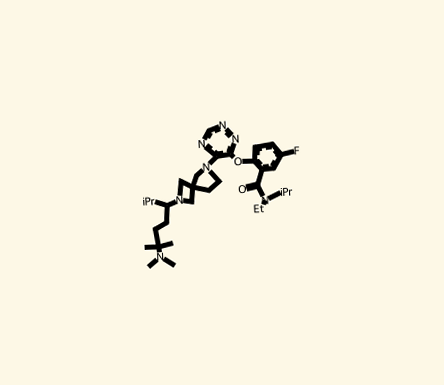 CCN(C(=O)c1cc(F)ccc1Oc1nncnc1N1CCC2(C1)CN(C(CCC(C)(C)N(C)C)C(C)C)C2)C(C)C